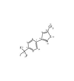 CC(F)(F)c1ccc(-c2cc(C(F)(F)F)sn2)cc1